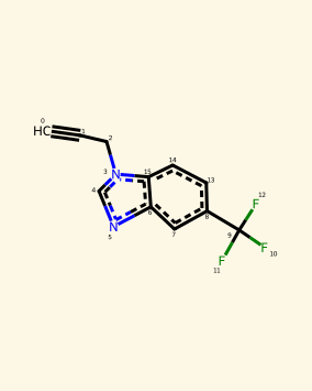 C#CCn1cnc2cc(C(F)(F)F)ccc21